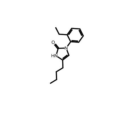 CCCCc1cn(-c2ccccc2CC)c(=O)[nH]1